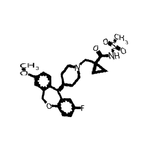 COc1ccc2c(c1)COc1ccc(F)cc1C2=C1CCN(CC2(C(=O)NS(C)(=O)=O)CC2)CC1